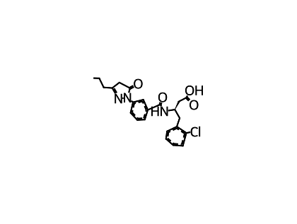 CCCC1=NN(c2cccc(C(=O)N[C@@H](CC(=O)O)Cc3ccccc3Cl)c2)C(=O)C1